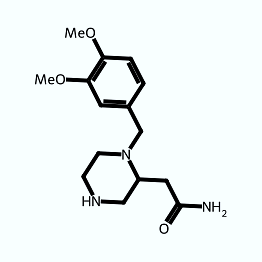 COc1ccc(CN2CCNCC2CC(N)=O)cc1OC